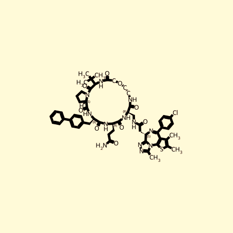 Cc1sc2c(c1C)C(c1ccc(Cl)cc1)=N[C@@H](CC(=O)NC[C@H]1NC(=O)[C@@H](CCC(N)=O)NC(=O)[C@@H](Cc3ccc(-c4ccccc4)cc3)NC(=O)[C@@H]3CCCN3C(=O)C(C(C)(C)C)NC(=O)COCCNC1=O)c1nnc(C)n1-2